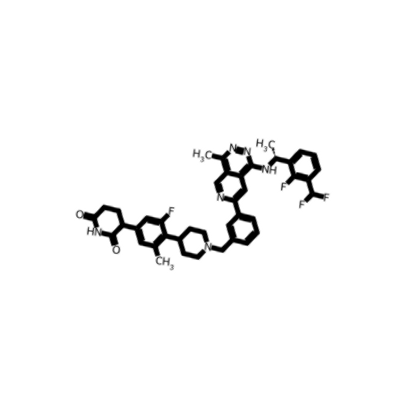 Cc1cc(C2CCC(=O)NC2=O)cc(F)c1C1CCN(Cc2cccc(-c3cc4c(N[C@H](C)c5cccc(C(F)F)c5F)nnc(C)c4cn3)c2)CC1